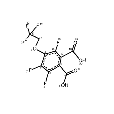 O=C(O)c1c(F)c(F)c(OCC(F)(F)F)c(F)c1C(=O)O